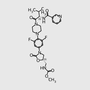 COC(=O)NC[C@H]1CN(c2cc(F)c(N3CCN(C(=O)[C@@H](NC(=O)c4cccnc4)C(C)C)CC3)c(F)c2)C(=O)O1